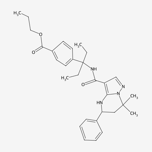 CCCOC(=O)c1ccc(C(CC)(CC)NC(=O)c2cnn3c2NC(c2ccccc2)CC3(C)C)cc1